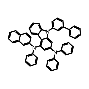 c1ccc(-c2cccc(-n3c4ccccc4c4c(N(c5ccccc5)c5ccc6ccccc6c5)cc(N(c5ccccc5)c5ccccc5)cc43)c2)cc1